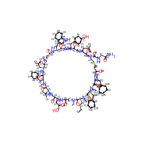 CCCC[C@H]1C(=O)N(C)CC(=O)N[C@@H](CC(=O)O)C(=O)N[C@@H](C(C)C)C(=O)N(C)[C@@H](Cc2ccccc2)C(=O)N[C@@H](CC(C)C)C(=O)N(C)CC(=O)N[C@@H](Cc2c[nH]c3ccccc23)C(=O)N[C@@H](Cc2ccc(O)cc2)C(=O)N[C@@H](CC(C)C)C(=O)N[C@H](C(=O)NCC(N)=O)CSCC(=O)N[C@@H](Cc2ccccc2)C(=O)N(C)[C@@H](Cc2ccccc2)C(=O)N1C